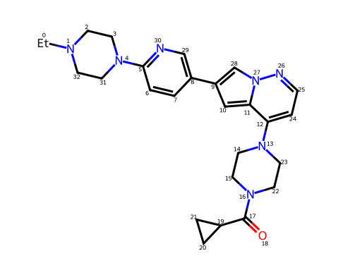 CCN1CCN(c2ccc(-c3cc4c(N5CCN(C(=O)C6CC6)CC5)ccnn4c3)cn2)CC1